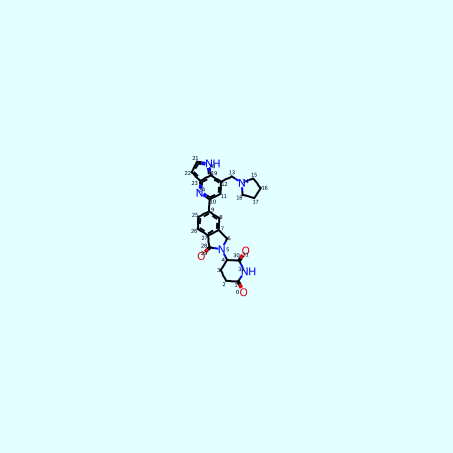 O=C1CCC(N2Cc3cc(-c4cc(CN5CCCC5)c5[nH]ccc5n4)ccc3C2=O)C(=O)N1